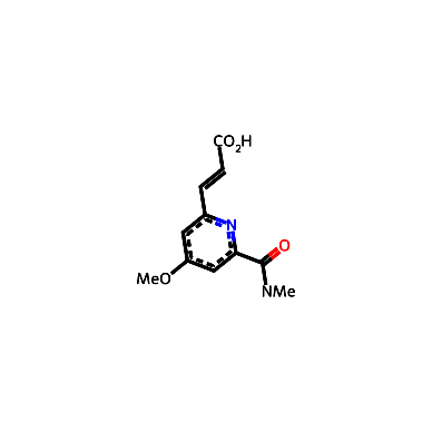 CNC(=O)c1cc(OC)cc(C=CC(=O)O)n1